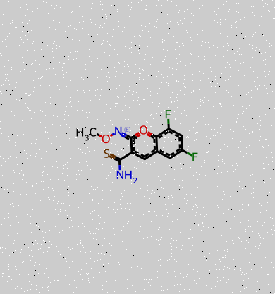 CO/N=c1/oc2c(F)cc(F)cc2cc1C(N)=S